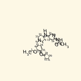 CCOc1cc(CN2CCC(Nc3ccc(NC(C)=O)nc3)CC2)ccc1OC1CCCC1